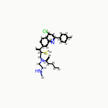 C=C(c1ccc2c(Cl)cc(-c3ccc(C)cc3)nc2c1)C(CN(CCNC)C(=C)CCCC)SC